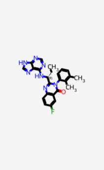 CC[C@@H](Nc1ncnc2[nH]cnc12)c1nc2ccc(F)cc2c(=O)n1-c1cccc(C)c1C